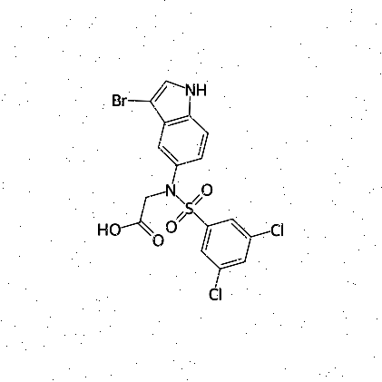 O=C(O)CN(c1ccc2[nH]cc(Br)c2c1)S(=O)(=O)c1cc(Cl)cc(Cl)c1